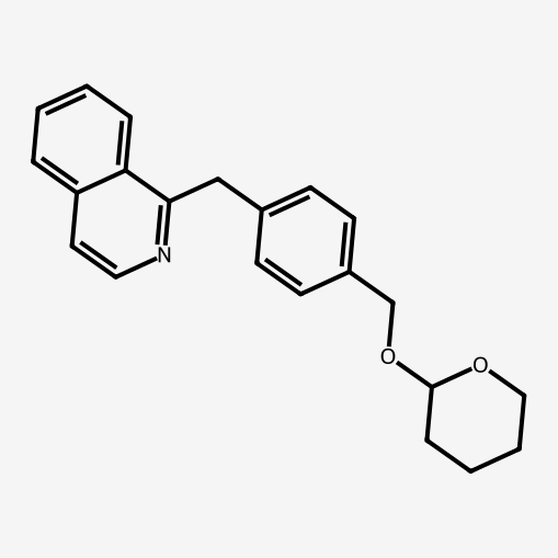 c1ccc2c(Cc3ccc(COC4CCCCO4)cc3)nccc2c1